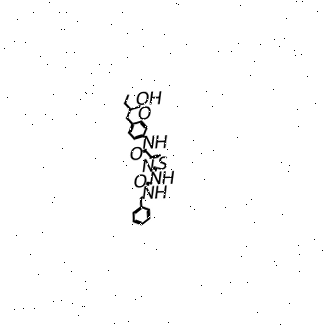 CCC(Cc1ccc(NC(=O)c2csc(NC(=O)NCc3ccccc3)n2)cc1)C(=O)O